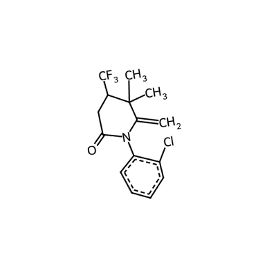 C=C1N(c2ccccc2Cl)C(=O)CC(C(F)(F)F)C1(C)C